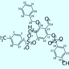 Cc1ccc(S(=O)(=O)Oc2cc(OS(=O)(=O)c3ccc(C)cc3)c(C=O)c(OCc3ccccc3)c2C)cc1